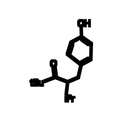 CC(C)C(Cc1ccc(O)cc1)C(=O)C(C)(C)C